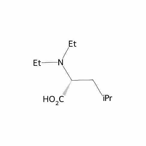 CCN(CC)[C@H](CC(C)C)C(=O)O